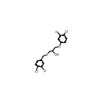 OC(COc1ccc(Cl)c(Cl)c1)CSCc1ccc(Cl)c(Cl)c1